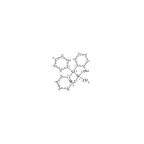 CC(C)(C)[Si](C)(C)[Sn]([c]1ccccc1)([c]1ccccc1)[c]1ccccc1